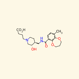 Cc1ccc(C(=O)NC[C@@H]2CCN(CCCC(=O)O)C[C@H]2O)c2c1OCCCO2